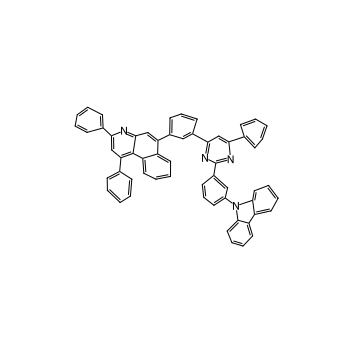 c1ccc(-c2cc(-c3cccc(-c4cc5nc(-c6ccccc6)cc(-c6ccccc6)c5c5ccccc45)c3)nc(-c3cccc(-n4c5ccccc5c5ccccc54)c3)n2)cc1